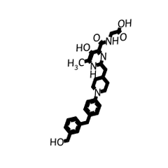 CC1=C(O)C(C(=O)NCC(=O)O)=NC(CC2CCN(c3ccc(Cc4cccc(CO)c4)cc3)CC2)N1